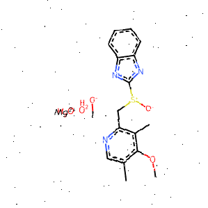 COc1c(C)cnc(C[S+]([O-])c2nc3ccccc3[n-]2)c1C.C[O-].O.O.[Mg+2]